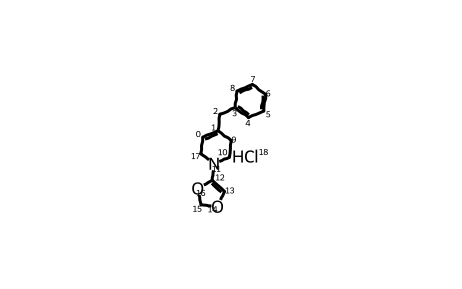 C1=C(Cc2ccccc2)CCN(C2=COCO2)C1.Cl